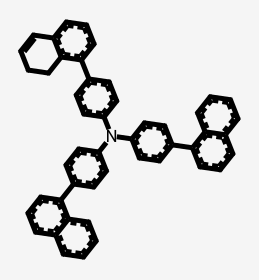 C1=Cc2cccc(-c3ccc(N(c4ccc(-c5cccc6ccccc56)cc4)c4ccc(-c5cccc6ccccc56)cc4)cc3)c2CC1